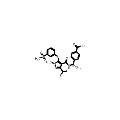 C[C@H](NC(=O)c1c(C(F)F)nn(C)c1Oc1cccc(S(C)(=O)=O)c1)c1ccc(C(=O)O)cc1